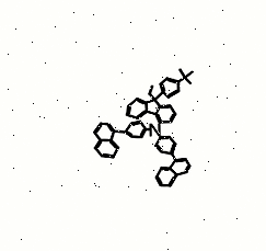 CCC1(c2ccc(C(C)(C)C)cc2)c2ccccc2-c2c(N(c3ccc(-c4cccc5ccccc45)cc3)c3ccc(-c4cccc5ccccc45)cc3)cccc21